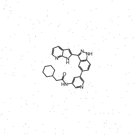 O=C(CC1CCCCC1)Nc1cncc(-c2ccc3[nH]nc(-c4cc5cccnc5[nH]4)c3c2)c1